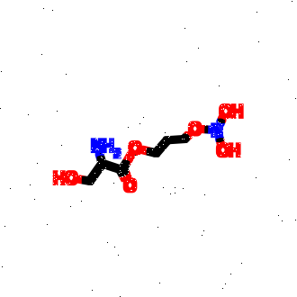 NC(CO)C(=O)OCCCON(O)O